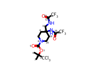 CC(C)(OC(=O)N1CCC(CNC(=O)C(F)(F)F)(NC(=O)C(F)(F)F)CC1)C(Cl)(Cl)Cl